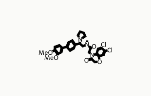 COc1ccc(-c2ccc(C(CN(C)C(=O)CN3C(=O)COc4cc(Cl)c(Cl)cc43)N3CCCC3)cc2)cc1OC